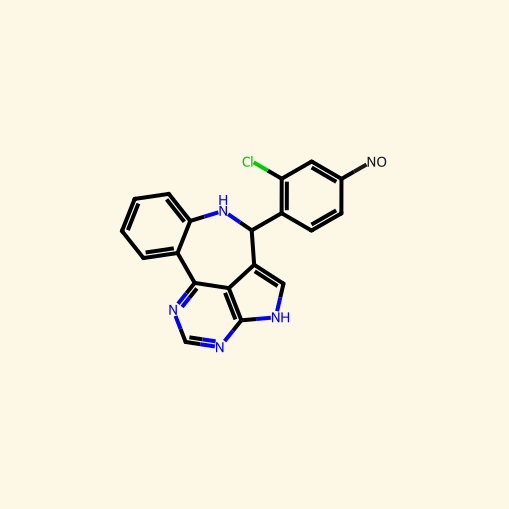 O=Nc1ccc(C2Nc3ccccc3-c3ncnc4[nH]cc2c34)c(Cl)c1